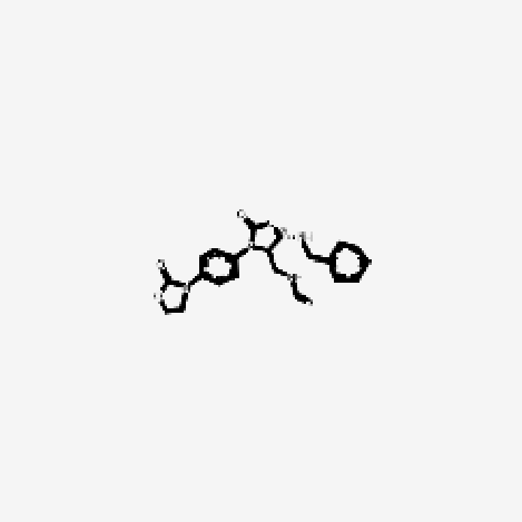 O=C1OCCN1c1ccc(N2C(=O)O[C@H](NCc3ccccc3)C2CNC=S)cc1